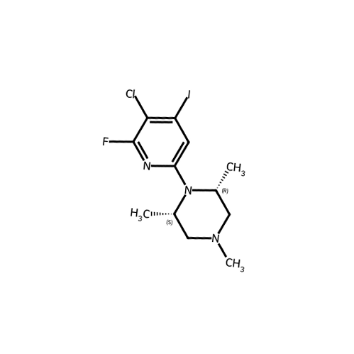 C[C@@H]1CN(C)C[C@H](C)N1c1cc(I)c(Cl)c(F)n1